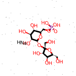 O=P(O)(O)OC[C@H]1O[C@H](O[C@]2(CO)O[C@H](CO)[C@@H](O)[C@@H]2O)[C@H](O)[C@@H](O)[C@@H]1O.[NaH]